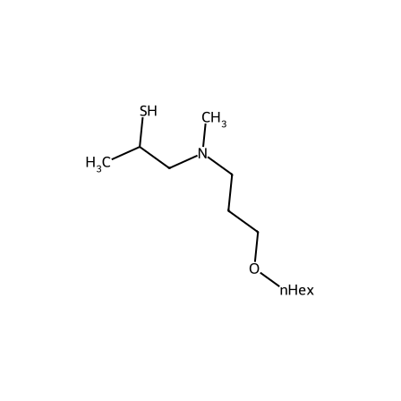 CCCCCCOCCCN(C)CC(C)S